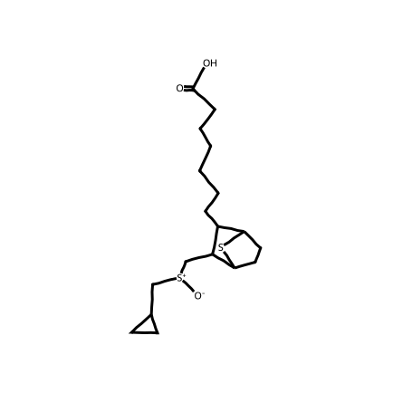 O=C(O)CCCCCCC1C2CCC(S2)C1C[S+]([O-])CC1CC1